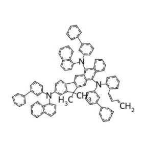 C=C/C=C\c1ccccc1N(c1cccc(-c2ccccc2)c1)c1c2ccccc2c(N(c2cccc(-c3ccccc3)c2)c2cccc3ccccc23)c2cc3c(cc12)C(C)(C)c1cc(N(c2cccc(-c4ccccc4)c2)c2cccc4ccccc24)ccc1-3